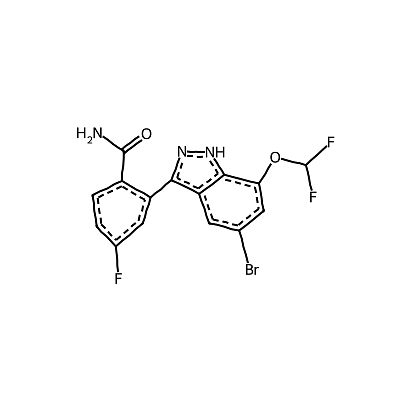 NC(=O)c1ccc(F)cc1-c1n[nH]c2c(OC(F)F)cc(Br)cc12